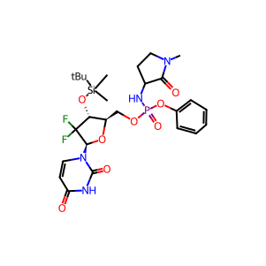 CN1CCC(NP(=O)(OC[C@H]2O[C@@H](n3ccc(=O)[nH]c3=O)C(F)(F)[C@@H]2O[Si](C)(C)C(C)(C)C)Oc2ccccc2)C1=O